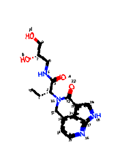 CC[C@H](C(=O)NC[C@H](O)CO)N1Cc2ccnc3[nH]cc(c23)C1=O